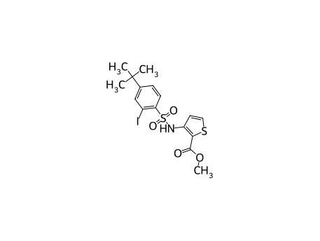 COC(=O)c1sccc1NS(=O)(=O)c1ccc(C(C)(C)C)cc1I